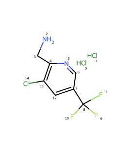 Cl.Cl.NCc1ncc(C(F)(F)F)cc1Cl